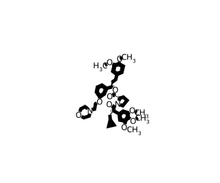 COc1ccc(CC[C@@H](OC(=O)[C@@H]2CCCN2C(=O)[C@@H](CC2CC2)c2cc(OC)c(OC)c(OC)c2)c2cccc(OCCN3CCOCC3)c2)cc1OC